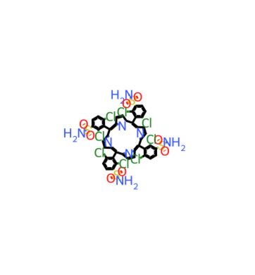 NS(=O)(=O)c1ccc(Cl)c(C2=C3C=CC(=N3)C(c3c(Cl)ccc(S(N)(=O)=O)c3Cl)=C3C=CC(=N3)C(c3c(Cl)ccc(S(N)(=O)=O)c3Cl)=C3C=CC(=N3)C(c3c(Cl)ccc(S(N)(=O)=O)c3Cl)=C3C=CC2=N3)c1Cl